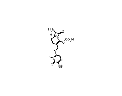 Cn1c(SCC2=C(OC(=O)O)N3C(=O)C(N)[C@@H]3SC2)nnc(O)c1=O